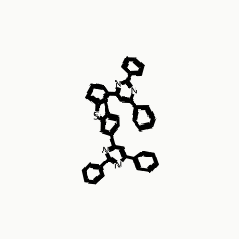 c1ccc(-c2cc(-c3ccc4c(c3)sc3cccc(-c5cc(-c6ccccc6)nc(-c6ccccc6)n5)c34)nc(-c3ccccc3)n2)cc1